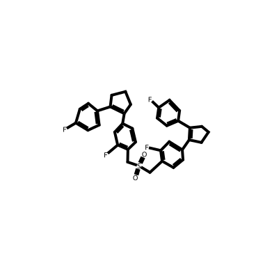 O=S(=O)(Cc1ccc(C2=C(c3ccc(F)cc3)CCC2)cc1F)Cc1ccc(C2=C(c3ccc(F)cc3)CCC2)cc1F